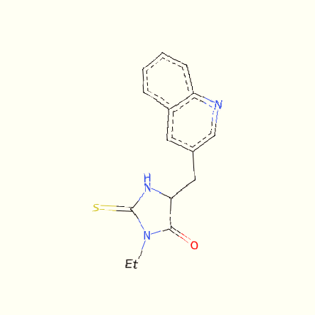 CCN1C(=O)C(Cc2cnc3ccccc3c2)NC1=S